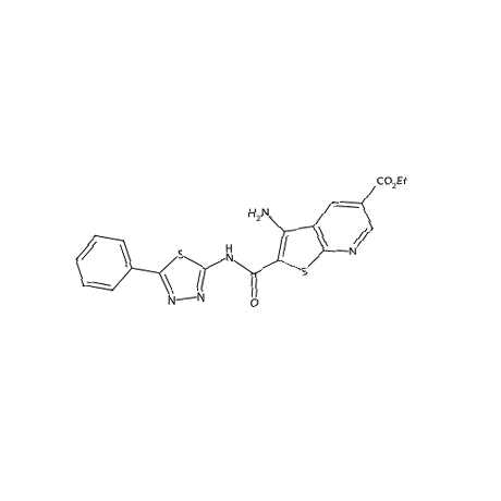 CCOC(=O)c1cnc2sc(C(=O)Nc3nnc(-c4ccccc4)s3)c(N)c2c1